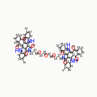 Cc1ccc(Nc2c3c(=O)c4ccccc4c(=O)c3c(Nc3ccc(C)cc3)c3c(=O)n(CCCOCCOCCOCCCn4c(=O)c5c(Nc6ccc(C)cc6)c6c(=O)c7ccccc7c(=O)c6c(Nc6ccc(C)cc6)c5c4=O)c(=O)c23)cc1